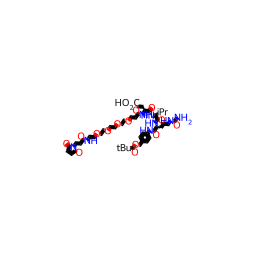 CC(C)[C@H](NC(=O)[C@H](CCC(=O)O)NC(=O)CCOCCOCCOCCOCCNC(=O)CCN1C(=O)C=CC1=O)C(=O)N[C@@H](CCCNC(N)=O)C(=O)Nc1ccc(COC(=O)C(C)(C)C)cc1